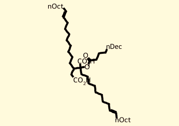 CCCCCCCCC=CCCCCCCCCC(CC(=O)O)C(CCCCCCCCC=CCCCCCCCC)(OC(=O)CCCCCCCCCCCCC)C(=O)O